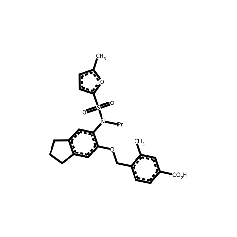 Cc1ccc(S(=O)(=O)N(c2cc3c(cc2OCc2ccc(C(=O)O)cc2C)CCC3)C(C)C)o1